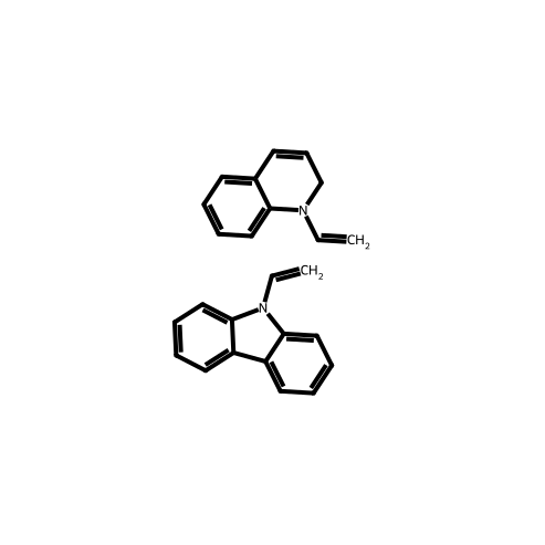 C=CN1CC=Cc2ccccc21.C=Cn1c2ccccc2c2ccccc21